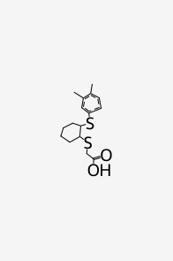 Cc1ccc(SC2CCCCC2SCC(=O)O)cc1C